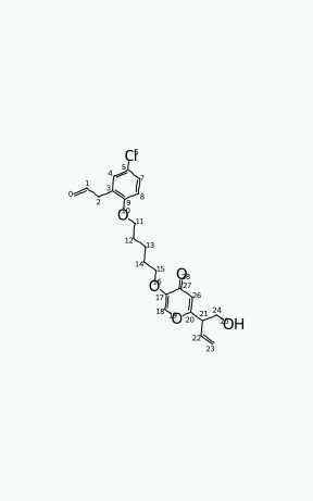 C=CCc1cc(Cl)ccc1OCCCCCOc1coc(C(C=C)CO)cc1=O